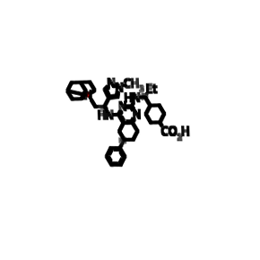 CC[C@@H](Nc1nc2c(c(N[C@@H](CN3C4CC5CC(C4)CC3C5)c3cnn(C)c3)n1)C[C@H](c1ccccc1)CC2)C1CCC(C(=O)O)CC1